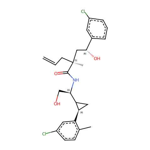 C=CC[C@@](C)(C[C@@H](O)c1cccc(Cl)c1)C(=O)N[C@H](CO)C1C[C@H]1c1cc(Cl)ccc1C